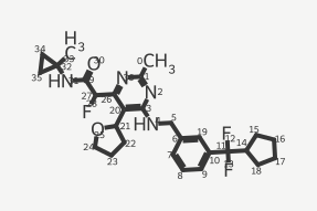 Cc1nc(NCc2cccc(C(F)(F)C3CCCC3)c2)c(C2CCCO2)c(C(F)C(=O)NC2(C)CC2)n1